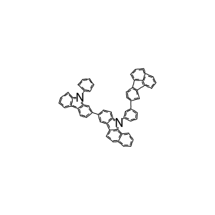 c1ccc(-n2c3ccccc3c3ccc(-c4ccc5c(c4)c4ccc6ccccc6c4n5-c4cccc(-c5ccc6c(c5)-c5cccc7cccc-6c57)c4)cc32)cc1